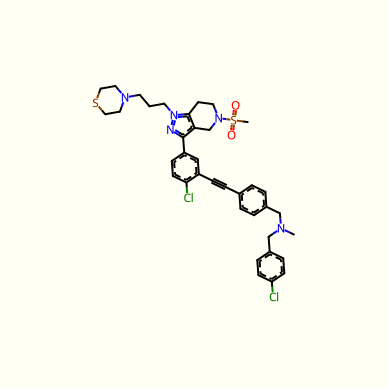 CN(Cc1ccc(Cl)cc1)Cc1ccc(C#Cc2cc(-c3nn(CCCN4CCSCC4)c4c3CN(S(C)(=O)=O)CC4)ccc2Cl)cc1